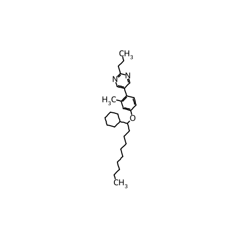 CCCCCCCCCC(Oc1ccc(-c2cnc(CCC)nc2)c(C)c1)C1CCCCC1